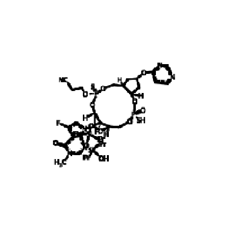 CC(C)[Si](O)(O[Si](O[C@H]1[C@H]2O[P@](=S)(OCCC#N)OC[C@H]3C[C@@H](Oc4ccncn4)C[C@@H]3O[P@](=O)(S)OC[C@H]1O[C@H]2n1cc(F)c2c(=O)n(C)cnc21)(C(C)C)C(C)C)C(C)C